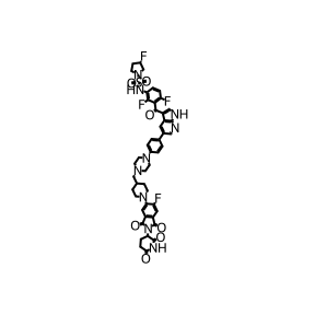 O=C1CCC(N2C(=O)c3cc(F)c(N4CCC(CN5CCN(c6ccc(-c7cnc8[nH]cc(C(=O)c9c(F)ccc(NS(=O)(=O)N%10CC[C@@H](F)C%10)c9F)c8c7)cc6)CC5)CC4)cc3C2=O)C(=O)N1